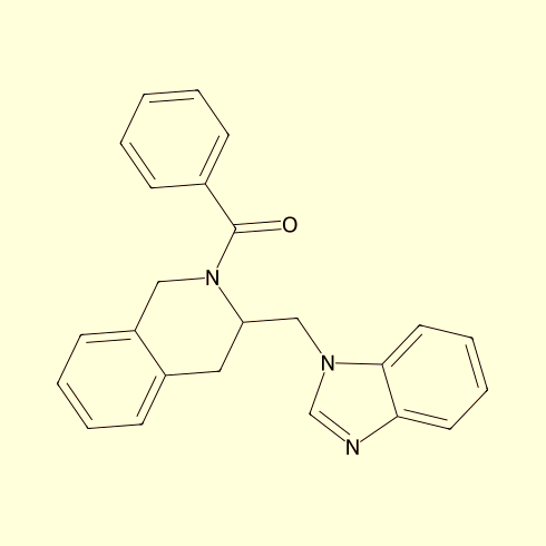 O=C(c1ccccc1)N1Cc2ccccc2CC1Cn1cnc2ccccc21